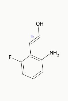 Nc1cccc(F)c1/C=C/O